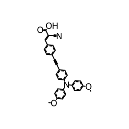 COc1ccc(N(c2ccc(C#Cc3ccc(/C=C(\C#N)C(=O)O)cc3)cc2)c2ccc(OC)cc2)cc1